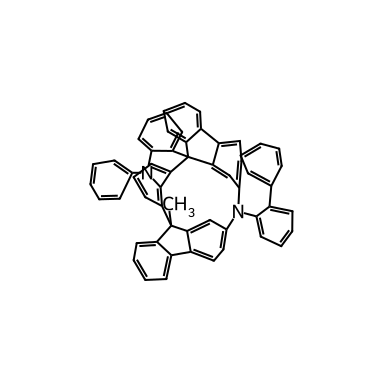 CC12c3ccccc3-c3ccc(cc31)N(c1ccccc1-c1ccccc1)c1ccc3c(c1)C1(c4ccccc4-3)c3ccccc3N(c3ccccc3)c3c2cccc31